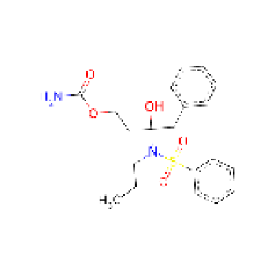 CCCN(C(O)(CCOC(N)=O)Cc1ccccc1)S(=O)(=O)c1ccccc1